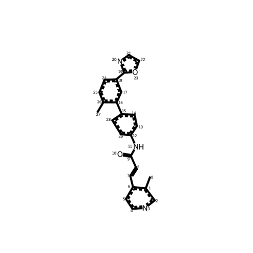 Cc1cnccc1C=CC(=O)Nc1ccc(-c2cc(-c3ncco3)ccc2C)cc1